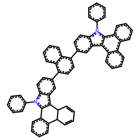 C1=CC2c3ccccc3-c3c(c4cc(-c5ccc(-c6ccc7c(c6)c6c8ccccc8c8ccccc8c6n7-c6ccccc6)c6ccccc56)ccc4n3-c3ccccc3)C2C=C1